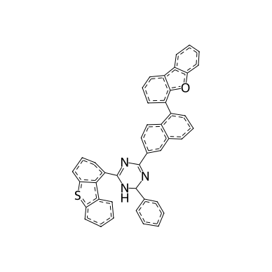 c1ccc(C2N=C(c3ccc4c(-c5cccc6c5oc5ccccc56)cccc4c3)N=C(c3cccc4sc5ccccc5c34)N2)cc1